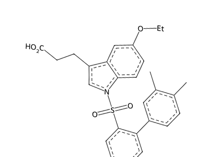 CCOc1ccc2c(c1)c(CCC(=O)O)cn2S(=O)(=O)c1ccccc1-c1ccc(C)c(C)c1